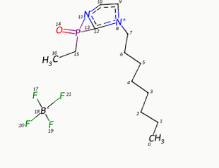 CCCCCCCC[n+]1ccn2c1P2(=O)CC.F[B-](F)(F)F